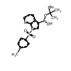 Cc1ccc(S(=O)(=O)n2cc(B(O)OC(C)(C)C(C)(C)C)c3cccnc32)cc1